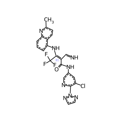 Cc1ccc2c(N/C(=C(\C=N)C(=O)Nc3cnc(-n4nccn4)c(Cl)c3)C(F)(F)F)cccc2n1